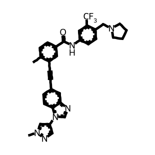 Cc1ccc(C(=O)Nc2ccc(CN3CCCC3)c(C(F)(F)F)c2)cc1C#Cc1ccc2c(c1)ncn2-c1cnn(C)c1